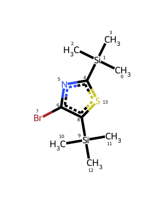 C[Si](C)(C)c1nc(Br)c([Si](C)(C)C)s1